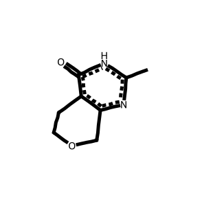 Cc1nc2c(c(=O)[nH]1)CCOC2